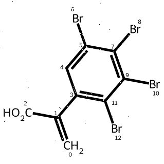 C=C(C(=O)O)c1cc(Br)c(Br)c(Br)c1Br